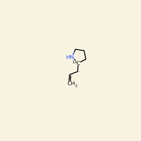 C=C[CH][13CH]1CCCN1